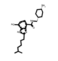 CC(C)CCCCc1nc2c(C(=O)NC[C@H]3CC[C@@H](N)CC3)ccc(O)c2[nH]1